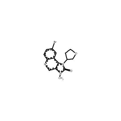 Cn1c(=O)n(C2CCOC2)c2c3cc(Br)ccc3ncc21